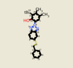 Cc1cc(-n2nc3ccc(SCc4ccccc4)cc3n2)c(O)c(C(C)(C)C)c1C